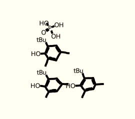 Cc1cc(C)c(O)c(C(C)(C)C)c1.Cc1cc(C)c(O)c(C(C)(C)C)c1.Cc1cc(C)c(O)c(C(C)(C)C)c1.O=P(O)(O)O